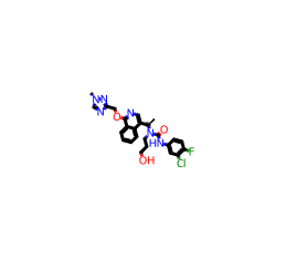 C[C@H](c1cnc(OCc2ncn(C)n2)c2ccccc12)N(CCCO)C(=O)Nc1ccc(F)c(Cl)c1